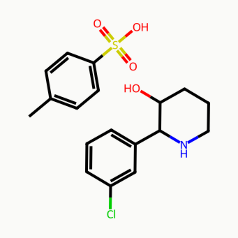 Cc1ccc(S(=O)(=O)O)cc1.OC1CCCNC1c1cccc(Cl)c1